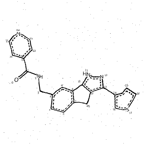 O=C(NCc1ccc2c(c1)-c1[nH]nc(-c3ccsc3)c1C2)c1ccncc1